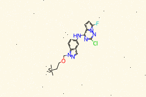 C[Si](C)(C)CCOCn1ncc2cc(Nc3nc(Cl)nn4c(F)ccc34)ccc21